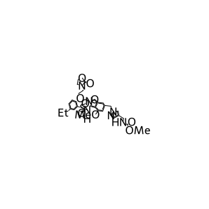 CCc1ccc(OCCN2CCOC2=O)c(S(=O)(=O)Nc2noc3cc(Cn4cc(CNC(=O)OC)cn4)cc(OC)c23)c1